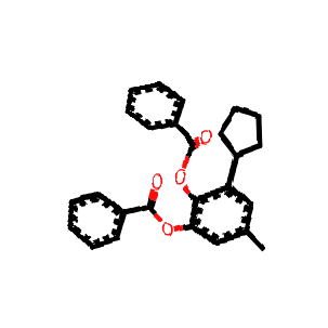 Cc1cc(OC(=O)c2ccccc2)c(OC(=O)c2ccccc2)c(C2CCCC2)c1